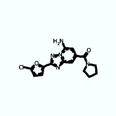 Nc1cc(C(=O)N2CCCC2)cc2nc(-c3ccc(Cl)o3)nn12